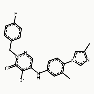 Cc1cn(-c2ccc(Nc3cnn(Cc4ccc(F)cc4)c(=O)c3Br)cc2C)cn1